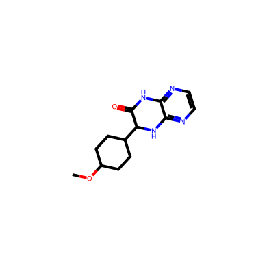 COC1CCC(C2Nc3nccnc3NC2=O)CC1